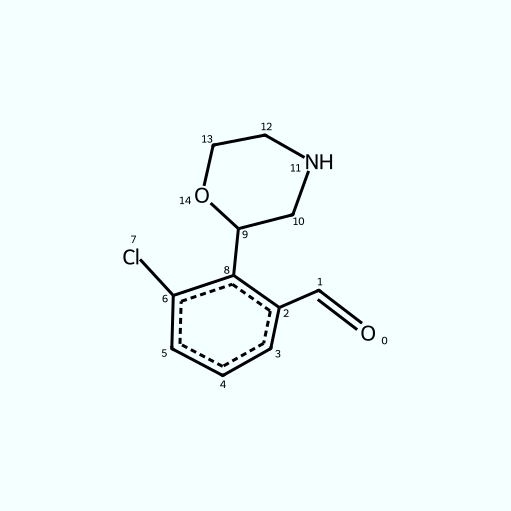 O=Cc1cccc(Cl)c1C1CNCCO1